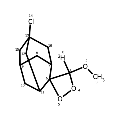 [2H]C1(OC)OOC12C1CC3CC2CC(Cl)(C3)C1